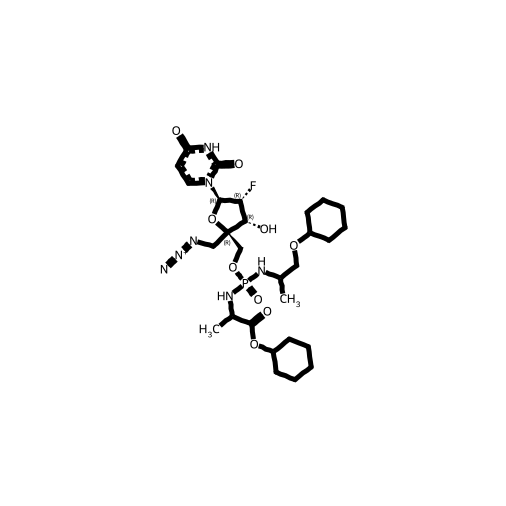 CC(COC1CCCCC1)NP(=O)(NC(C)C(=O)OC1CCCCC1)OC[C@@]1(CN=[N+]=[N-])O[C@@H](n2ccc(=O)[nH]c2=O)[C@H](F)[C@@H]1O